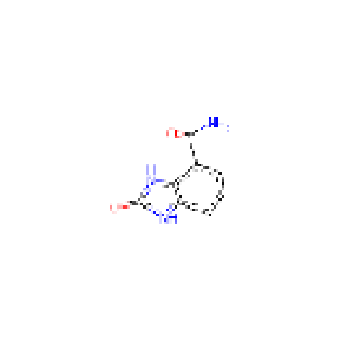 NC(=O)c1cccc2[nH]c(=O)[nH]c12